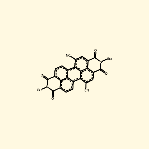 CCC(C)N1C(=O)c2ccc3c4c(C#N)cc5c6c(cc(C#N)c(c7ccc(c2c37)C1=O)c64)C(=O)N(C(C)CC)C5=O